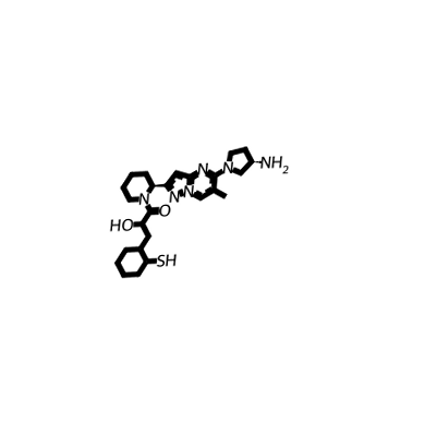 Cc1cn2nc([C@@H]3CCCCN3C(=O)C(O)CC3CCCCC3S)cc2nc1N1CC[C@H](N)C1